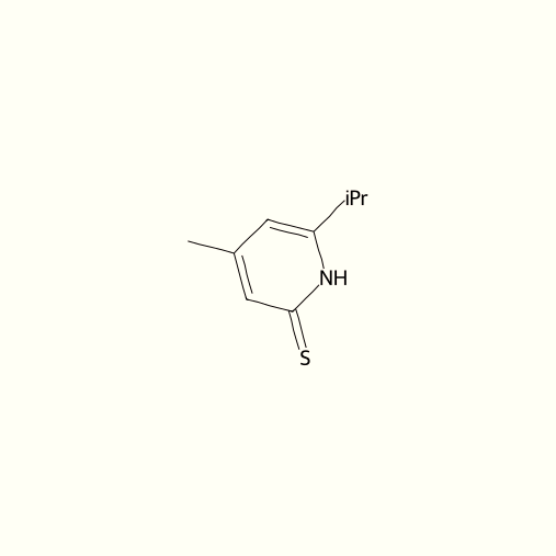 Cc1cc(C(C)C)[nH]c(=S)c1